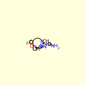 CN1CCCCCc2ccc(F)cc2C(=O)N2CCCC[C@H]2c2cc3nc(N4CC[C@H](N)C4)cc1n3n2